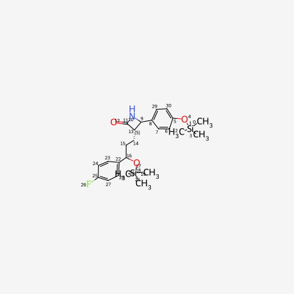 C[Si](C)(C)Oc1ccc(C2NC(=O)[C@H]2CCC(O[Si](C)(C)C)c2ccc(F)cc2)cc1